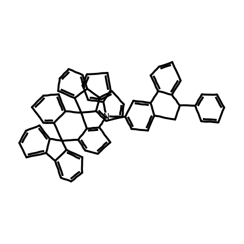 c1ccc(C2Cc3ccc(N(c4ccccc4)c4cccc5c4C4(c6ccccc6-c6ccccc64)c4ccccc4C54c5ccccc5-c5ccccc54)cc3-c3ccccc32)cc1